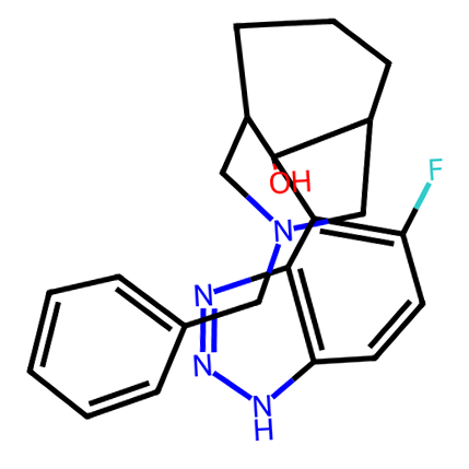 OC1(c2c(F)ccc3[nH]nnc23)C2CCCC1CN(Cc1ccccc1)C2